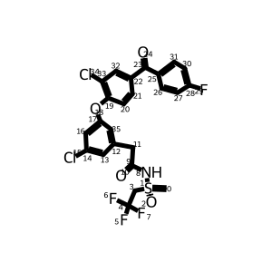 C=S(=O)(CC(F)(F)F)NC(=O)Cc1cc(Cl)cc(Oc2ccc(C(=O)c3ccc(F)cc3)cc2Cl)c1